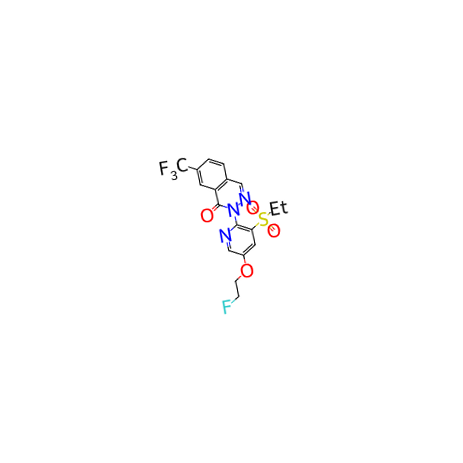 CCS(=O)(=O)c1cc(OCCF)cnc1-n1ncc2ccc(C(F)(F)F)cc2c1=O